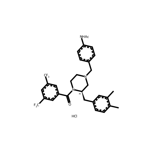 CC(=O)Nc1ccc(CN2CCN(C(=O)c3cc(C(F)(F)F)cc(C(F)(F)F)c3)[C@H](Cc3ccc(C)c(C)c3)C2)cc1.Cl